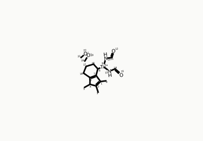 CC1=C(C)C(C)C2=C1[CH]([Ti+2]([NH]C=O)[NH]C=O)CCC2.C[O-].C[O-]